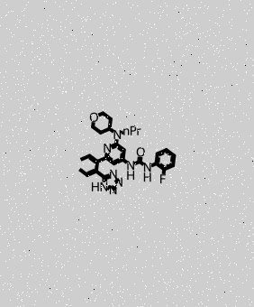 C/C=C(\C(=C/C)c1nnn[nH]1)c1cc(NC(=O)Nc2ccccc2F)cc(N(CCC)C2CCOCC2)n1